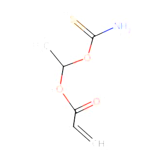 C=CC(=O)OC(C)OC(N)=S